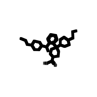 CCCC1CCC(C(C)c2ccccc2C2(C3CCC(CCC)CC3)CCC(C(=O)O)CC2)CC1